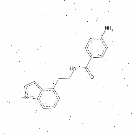 Nc1ccc(C(=O)NCCc2cccc3[nH]ccc23)cc1